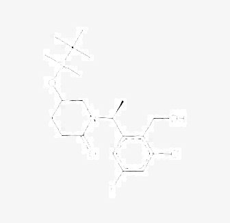 C[C@@H](c1cc(F)cc(Cl)c1CO)N1CC(O[Si](C)(C)C(C)(C)C)CCC1=O